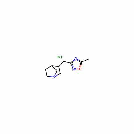 Cc1nc(CC2CN3CCC2C3)no1.Cl